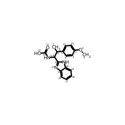 COc1ccc(C(C)C(NC(=O)O)c2nc3ccccc3[nH]2)cc1